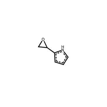 c1c[nH]c(C2CO2)c1